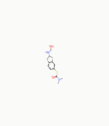 CN(C)C(=O)Sc1ccc2c(c1)CC(NCO)C2